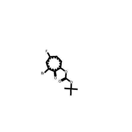 CC(C)(C)OC(=O)Oc1ccc(F)cc(Br)c1=O